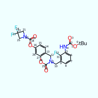 CC(C)(C)OC(=O)Nc1cccc(CN2Cc3ccc(OC(=O)N4CC(F)(F)C4)cc3OC2=O)c1F